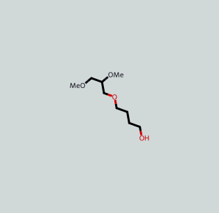 COCC(COCCCCO)OC